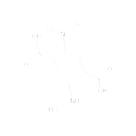 CNc1cc(C(=O)O)c([N+](=O)[O-])cc1C(=O)O